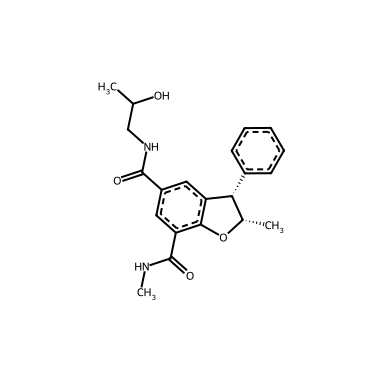 CNC(=O)c1cc(C(=O)NCC(C)O)cc2c1O[C@@H](C)[C@H]2c1ccccc1